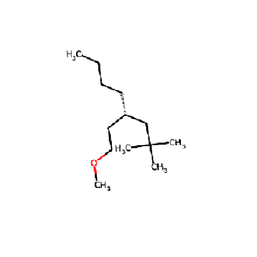 CCCC[C@@H](CCOC)CC(C)(C)C